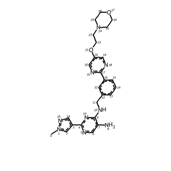 Cn1cc(-c2ncc(N)c(NCc3cccc(-c4ncc(OCCN5CCOCC5)cn4)c3)n2)cn1